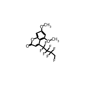 COc1cc(OC)c2c(C(F)(F)C(F)(F)C(F)(F)CF)cc(=O)oc2c1